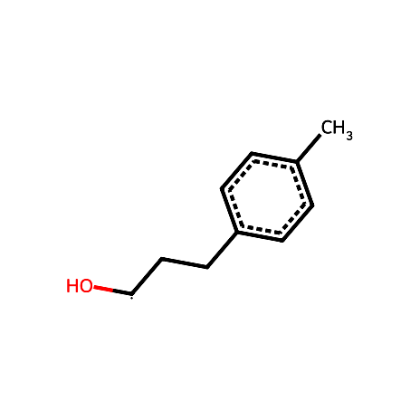 Cc1ccc(CC[CH]O)cc1